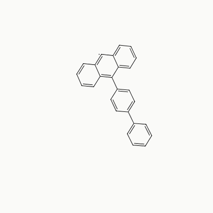 [c]1c2ccccc2c(-c2ccc(-c3ccccc3)cc2)c2ccccc12